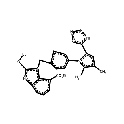 CCOC(=O)c1cccc2nc(OCC)n(Cc3ccc(-n4c(-c5nnn[nH]5)cc(C)c4C)cc3)c12